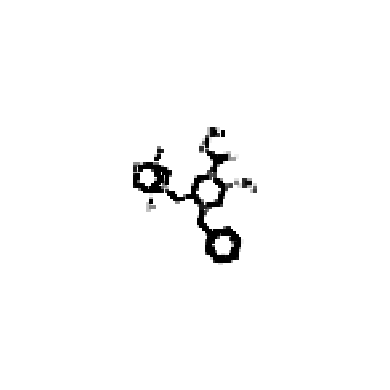 C[C@@H]1CN(Cc2ccccc2)[C@@H](CN2C[C@H]3C[C@@H]2CO3)CN1C(=O)OC(C)(C)C